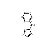 C1=CC(Pc2ccccc2)C=C1